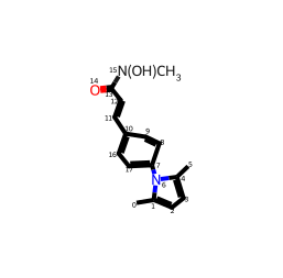 Cc1ccc(C)n1-c1ccc(C=CC(=O)N(C)O)cc1